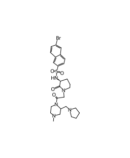 CN1CCN(C(=O)CN2CCC[C@H](NS(=O)(=O)c3ccc4cc(Br)ccc4c3)C2=O)C(CN2CCCC2)C1